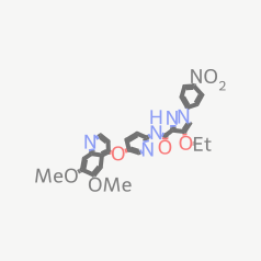 CCOc1cn(-c2ccc([N+](=O)[O-])cc2)nc1C(=O)Nc1ccc(Oc2ccnc3cc(OC)c(OC)cc23)cn1